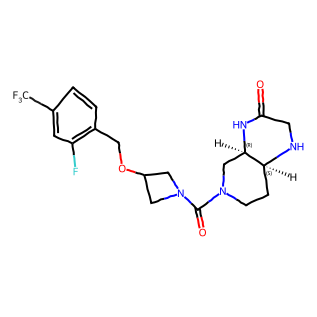 O=C1CN[C@H]2CCN(C(=O)N3CC(OCc4ccc(C(F)(F)F)cc4F)C3)C[C@H]2N1